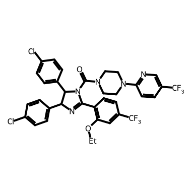 CCOc1cc(C(F)(F)F)ccc1C1=NC(c2ccc(Cl)cc2)C(c2ccc(Cl)cc2)N1C(=O)N1CCN(c2ccc(C(F)(F)F)cn2)CC1